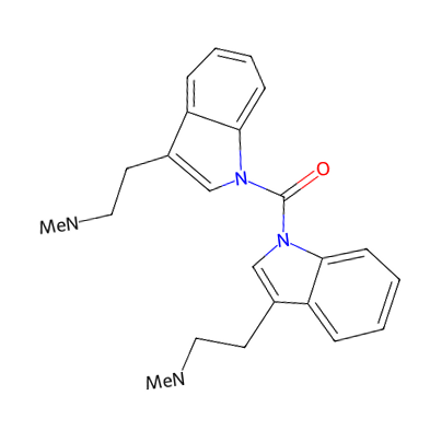 CNCCc1cn(C(=O)n2cc(CCNC)c3ccccc32)c2ccccc12